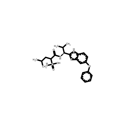 CC(C)CC(C(=O)N[C@H](c1nc2cc(Oc3ccccc3)ccc2[nH]1)C(C)C)P(=O)(O)O